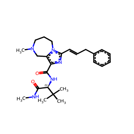 CNC(=O)[C@@H](NC(=O)c1nc(C=CCc2ccccc2)n2c1CN(C)CCC2)C(C)(C)C